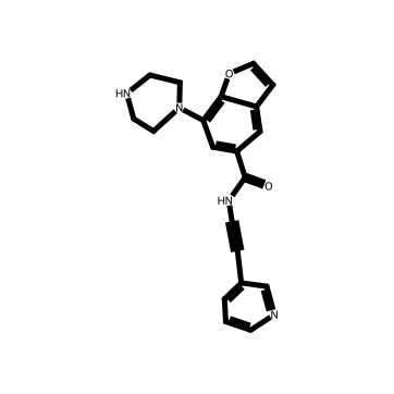 O=C(NC#Cc1cccnc1)c1cc(N2CCNCC2)c2occc2c1